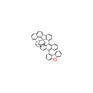 c1cc2c(c(-c3c4ccccc4c(-c4cccc5oc6ccccc6c45)c4ccccc34)c1)C1(c3c-2ccc2ccccc32)C2CC3CC(C2)CC1C3